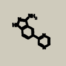 Nc1n[nH]c2ccc(-c3cnccn3)cc12